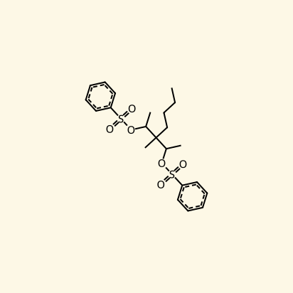 CCCCC(C)(C(C)OS(=O)(=O)c1ccccc1)C(C)OS(=O)(=O)c1ccccc1